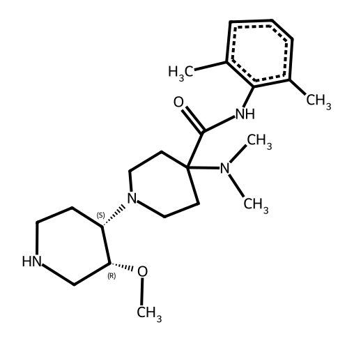 CO[C@@H]1CNCC[C@@H]1N1CCC(C(=O)Nc2c(C)cccc2C)(N(C)C)CC1